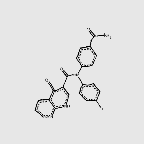 NC(=O)c1ccc(N(C(=O)c2c[nH]c3ncccc3c2=O)c2ccc(F)cc2)cc1